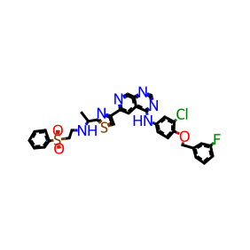 CC(NCCS(=O)(=O)c1ccccc1)c1nc(-c2cc3c(Nc4ccc(OCc5cccc(F)c5)c(Cl)c4)ncnc3cn2)cs1